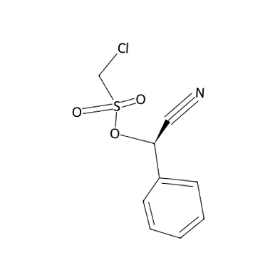 N#C[C@H](OS(=O)(=O)CCl)c1ccccc1